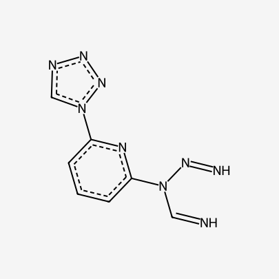 N=CN(N=N)c1cccc(-n2cnnn2)n1